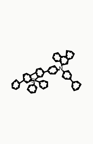 c1ccc(-c2ccc(N(c3ccc(-c4ccc5c(c4)[Si](c4ccccc4)(c4ccccc4)c4cc(-c6ccccc6)ccc4-5)cc3)c3cc4ccccc4c4ccccc34)cc2)cc1